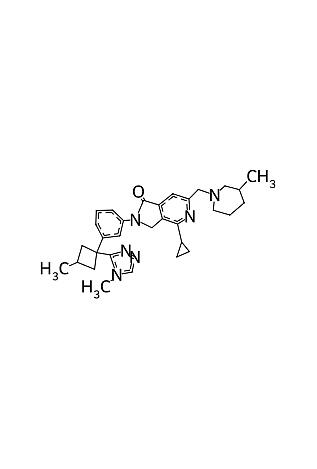 CC1CCCN(Cc2cc3c(c(C4CC4)n2)CN(c2cccc(C4(c5nncn5C)CC(C)C4)c2)C3=O)C1